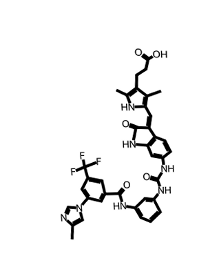 Cc1cn(-c2cc(C(=O)Nc3cccc(NC(=O)Nc4ccc5c(c4)NC(=O)C5=Cc4[nH]c(C)c(CCC(=O)O)c4C)c3)cc(C(F)(F)F)c2)cn1